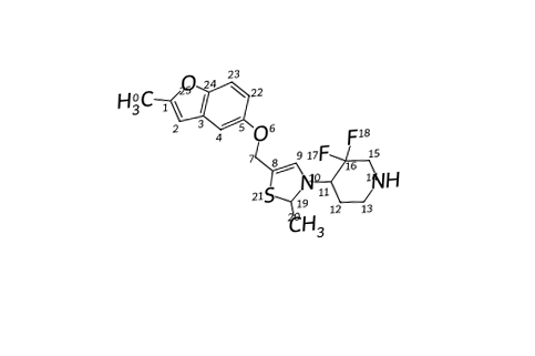 Cc1cc2cc(OCC3=CN(C4CCNCC4(F)F)C(C)S3)ccc2o1